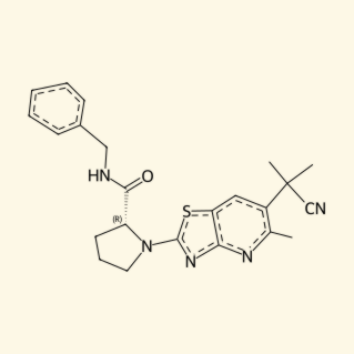 Cc1nc2nc(N3CCC[C@@H]3C(=O)NCc3ccccc3)sc2cc1C(C)(C)C#N